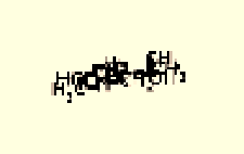 C=C[C@](C)(O)CCC[C@H]1CC[C@H]2[C@@H]3CC=C4C[C@@](C)(O)CC[C@]4(C)[C@H]3CC[C@]12C